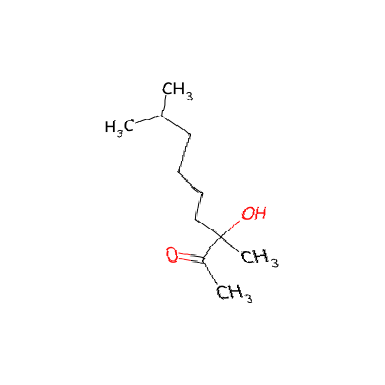 CC(=O)C(C)(O)CCCCC(C)C